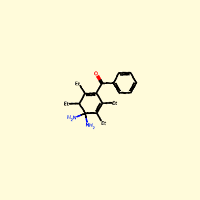 CCC1=C(CC)C(N)(N)C(CC)C(CC)=C1C(=O)c1ccccc1